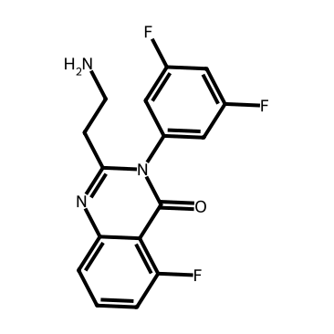 NCCc1nc2cccc(F)c2c(=O)n1-c1cc(F)cc(F)c1